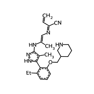 C=C/C(C#N)=N\C=C(/C)Nc1n[nH]c(-c2c(CC)cccc2OCC2CCCNC2)c1C